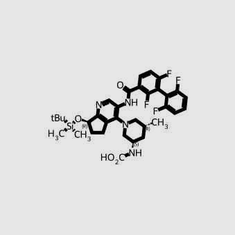 C[C@@H]1C[C@H](NC(=O)O)CN(c2c(NC(=O)c3ccc(F)c(-c4c(F)cccc4F)c3F)cnc3c2CC[C@H]3O[Si](C)(C)C(C)(C)C)C1